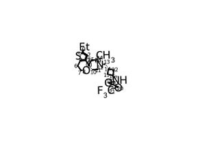 CCc1cc2c(s1)CCO[C@@]21CCN(C[C@H]2C[C@@H](NS(=O)(=O)C(F)(F)F)C2)[C@@H](C)C1